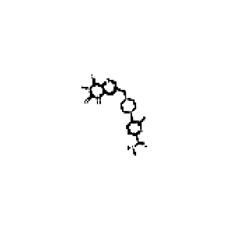 CNC(=O)c1ccc(N2CCN(Cc3cnc4c(=O)n(C)c(=O)[nH]c4c3)CC2)c(C)n1